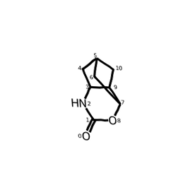 O=C1NC2CC3CC(O1)C2C3